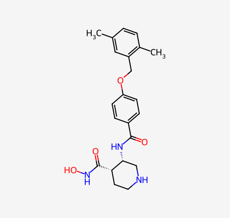 Cc1ccc(C)c(COc2ccc(C(=O)N[C@@H]3CNCC[C@@H]3C(=O)NO)cc2)c1